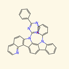 c1ccc(-c2ncnc(-n3c4ccc5cccnc5c4c4ccc5c6ccccc6n(-c6ccccc6)c5c43)n2)cc1